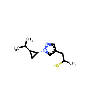 CC(S)Cc1cnn([C@@H]2C[C@H]2C(C)C)c1